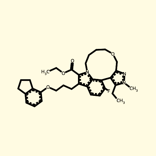 CCOC(=O)c1c(CCCOc2cccc3c2CCC3)c2ccc(F)c3c2n1CCCCOCc1nn(C)c(CC)c1-3